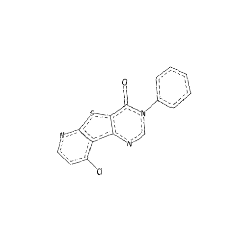 O=c1c2sc3nccc(Cl)c3c2ncn1-c1ccccc1